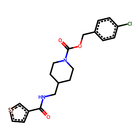 O=C(NCC1CCN(C(=O)OCc2ccc(Cl)cc2)CC1)c1ccsc1